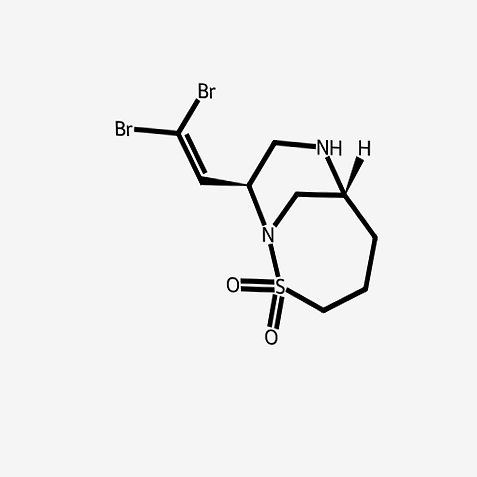 O=S1(=O)CCC[C@@H]2CN1[C@@H](C=C(Br)Br)CN2